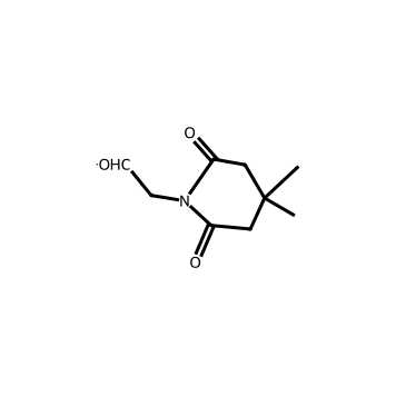 CC1(C)CC(=O)N(C[C]=O)C(=O)C1